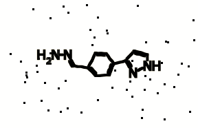 NN=Cc1ccc(-c2cc[nH]n2)cc1